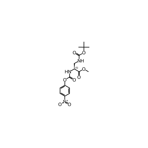 COC(=O)[C@H](CNC(=O)OC(C)(C)C)NC(=O)Oc1ccc([N+](=O)[O-])cc1